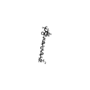 CC(C)(C)CC1(C(=O)NCCCOCCOCCOCCCN)CC1(C)C